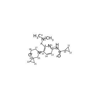 CN(C)Cc1nc(NC(=O)C2CC2)ccc1N1CCOC2(CC2)C1